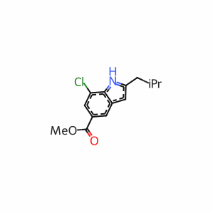 COC(=O)c1cc(Cl)c2[nH]c(CC(C)C)cc2c1